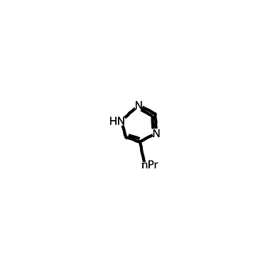 CCCC1=CNN=C=N1